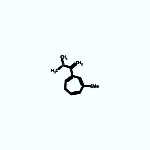 C=C(C1=CCC=CC(SC)=C1)N(C)C